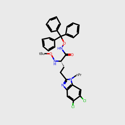 CCCn1c(CC[C@H](NOC(C)(C)C)C(=O)NOC(c2ccccc2)(c2ccccc2)c2ccccc2)nc2cc(Cl)c(Cl)cc21